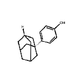 Oc1ccc([C@]23CC4CC(C[C@H](C4)C2)C3)cc1